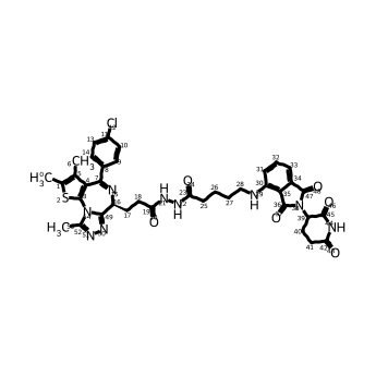 Cc1sc2c(c1C)C(c1ccc(Cl)cc1)=N[C@@H](CCC(=O)NNC(=O)CCCCNc1cccc3c1C(=O)N(C1CCC(=O)NC1=O)C3=O)c1nnc(C)n1-2